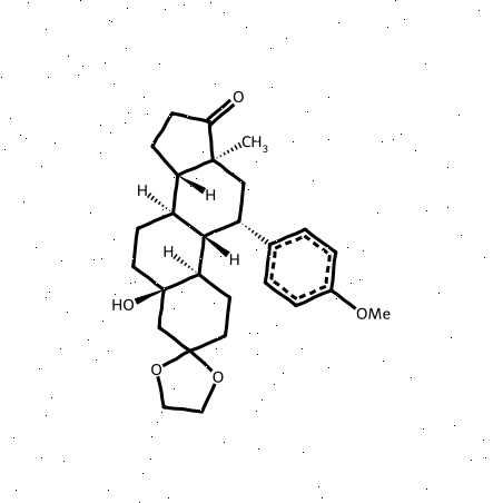 COc1ccc([C@H]2C[C@]3(C)C(=O)CC[C@H]3[C@@H]3CC[C@@]4(O)CC5(CC[C@@H]4[C@H]32)OCCO5)cc1